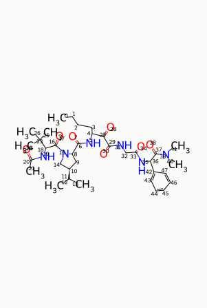 CCCCC(NC(=O)C1C[C@@H](C(C)C)CN1C(=O)C(NC(C)=O)C(C)(C)C)C(=O)C(=O)NCC(=O)NC(C(=O)N(C)C)c1ccccc1